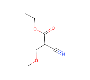 CCOC(=O)C(C#N)COC